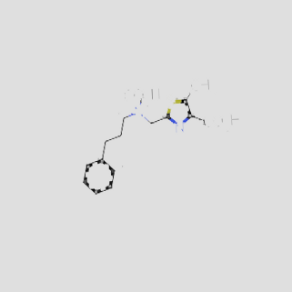 Cc1sc(CN(CCCc2ccccc2)C(=O)O)nc1C(=O)O